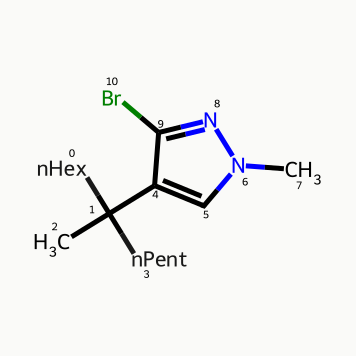 CCCCCCC(C)(CCCCC)c1cn(C)nc1Br